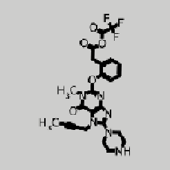 CC#CCn1c(N2CCNCC2)nc2nc(Oc3ccccc3CC(=O)OC(=O)C(F)(F)F)n(C)c(=O)c21